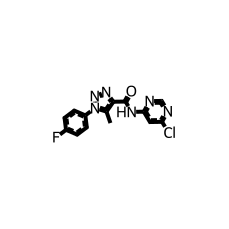 Cc1c(C(=O)Nc2cc(Cl)ncn2)nnn1-c1ccc(F)cc1